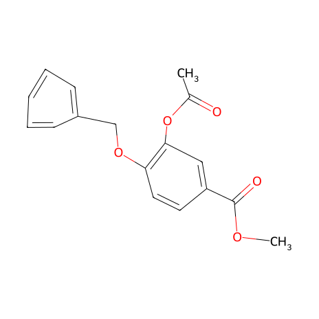 COC(=O)c1ccc(OCc2ccccc2)c(OC(C)=O)c1